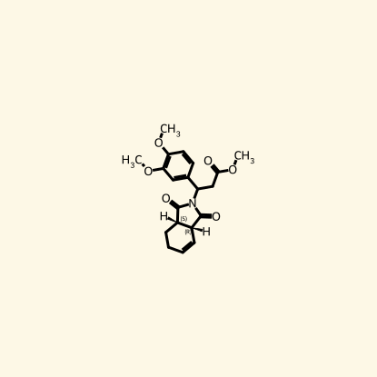 COC(=O)CC(c1ccc(OC)c(OC)c1)N1C(=O)[C@H]2CCC=C[C@H]2C1=O